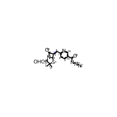 CC1(C)SC2/C(=C\c3ccc(C(=O)N=[N+]=[N-])cn3)C(=O)N2[C@H]1C=O